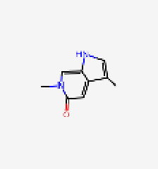 Cc1c[nH]c2cn(C)c(=O)cc12